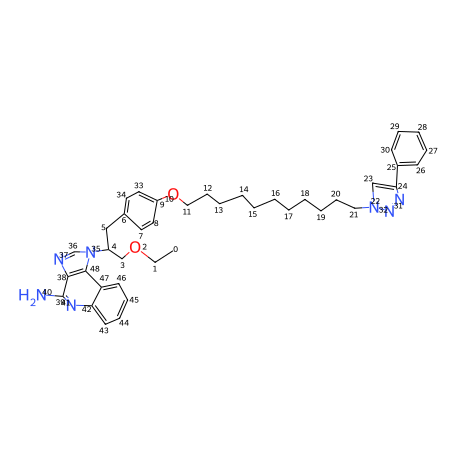 CCOCC(Cc1ccc(OCCCCCCCCCCCn2cc(-c3ccccc3)nn2)cc1)n1cnc2c(N)nc3ccccc3c21